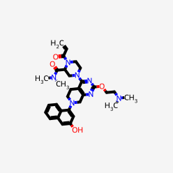 C=CC(=O)N1CCN(c2nc(OCCN(C)C)nc3c2CCN(c2cc(O)cc4ccccc24)C3)CC1C(=O)N(C)C